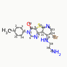 Cc1ccc(-n2cnc3c(sc4ncc(Br)c(NCCN)c43)c2=O)cc1